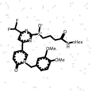 CCCCCCNC(=O)CCC[S+]([O-])c1nc(-c2ccc(=O)n(Cc3ccc(OC)c(OC)c3)c2)cc(C(F)F)n1